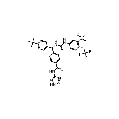 CC(C)(C)c1ccc(C(NC(=O)Nc2ccc(OC(F)(F)F)c(S(C)(=O)=O)c2)c2ccc(C(=O)Nc3nn[nH]n3)cc2)cc1